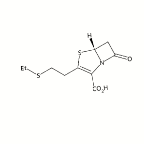 CCSCCC1=C(C(=O)O)N2C(=O)C[C@H]2S1